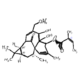 C/C=C(/C)C(=O)OC1C(C)=CC23C(=O)C(C=C(COC(C)=O)C(O)C12O)[C@H]1[C@@H](C[C@H]3C)C1(C)C